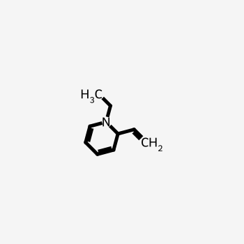 C=CC1C=CC=CN1CC